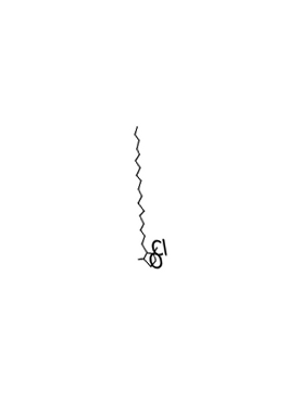 CCCCCCCCCCCCCCCCCCC1C(C)COC1Cl